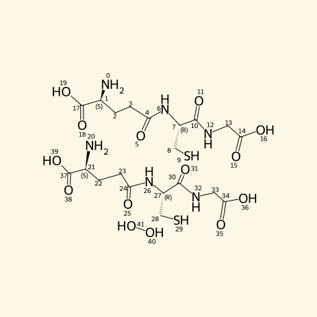 N[C@@H](CCC(=O)N[C@@H](CS)C(=O)NCC(=O)O)C(=O)O.N[C@@H](CCC(=O)N[C@@H](CS)C(=O)NCC(=O)O)C(=O)O.OO